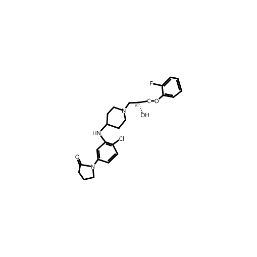 O=C1CCCN1c1ccc(Cl)c(NC2CCN(C[C@@H](O)COc3ccccc3F)CC2)c1